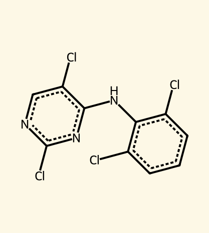 Clc1ncc(Cl)c(Nc2c(Cl)cccc2Cl)n1